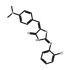 CN(C)c1ccc(/C=C2/SC(=Nc3ccccc3Cl)NC2=O)cc1